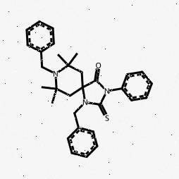 CC1(C)CC2(CC(C)(C)N1Cc1ccccc1)C(=O)N(c1ccccc1)C(=S)N2Cc1ccccc1